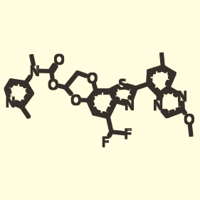 COc1cnc2c(-c3nc4c(C(F)F)cc5c(c4s3)OCC(OC(=O)N(C)c3ccnc(C)c3)O5)cc(C)cc2n1